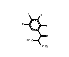 CCOC(=O)C(C(=O)OCC)C(=O)c1cc(F)c(F)c(Cl)c1F